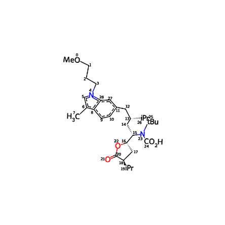 COCCCn1cc(C)c2ccc(C[C@@H](C[C@@H]([C@@H]3C[C@@H](C(C)C)C(=O)O3)N(C(=O)O)C(C)(C)C)C(C)C)cc21